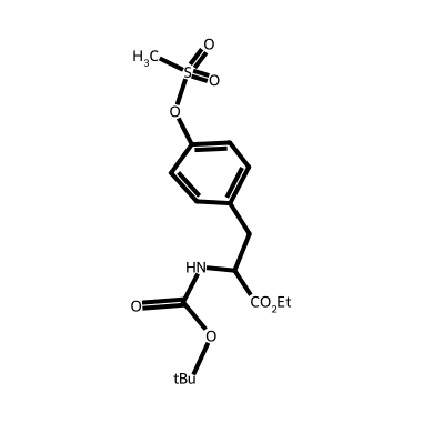 CCOC(=O)C(Cc1ccc(OS(C)(=O)=O)cc1)NC(=O)OC(C)(C)C